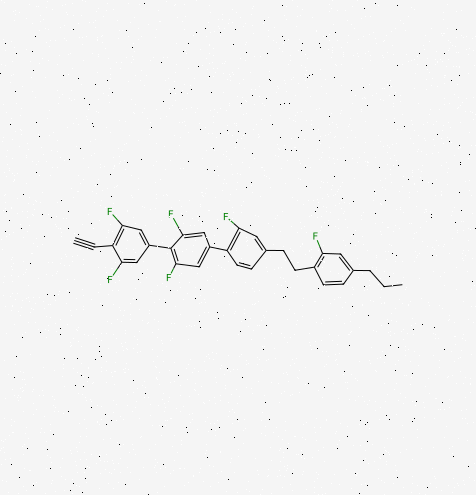 C#Cc1c(F)cc(-c2c(F)cc(-c3ccc(CCc4ccc(CCC)cc4F)cc3F)cc2F)cc1F